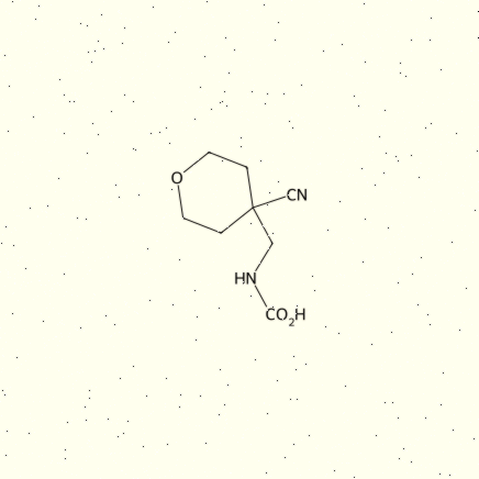 N#CC1(CNC(=O)O)CCOCC1